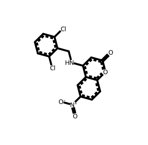 O=c1cc(NCc2c(Cl)cccc2Cl)c2cc([N+](=O)[O-])ccc2o1